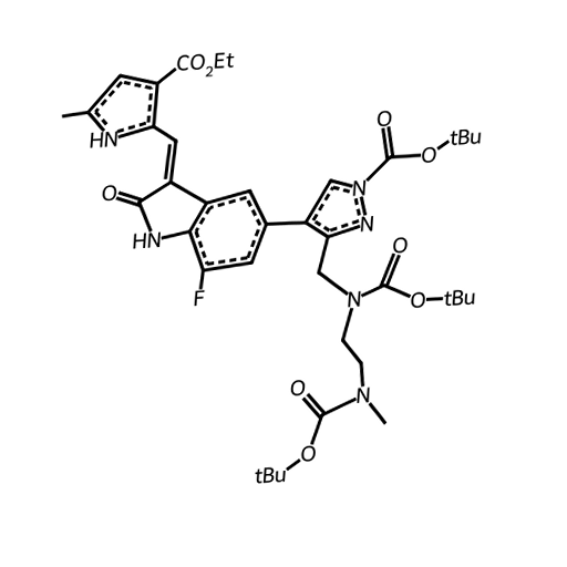 CCOC(=O)c1cc(C)[nH]c1/C=C1\C(=O)Nc2c(F)cc(-c3cn(C(=O)OC(C)(C)C)nc3CN(CCN(C)C(=O)OC(C)(C)C)C(=O)OC(C)(C)C)cc21